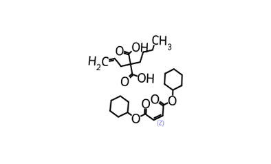 C=CCC(CCCC)(C(=O)O)C(=O)O.O=C(/C=C\C(=O)OC1CCCCC1)OC1CCCCC1